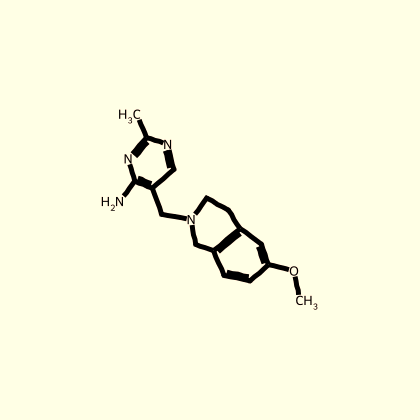 COc1ccc2c(c1)CCN(Cc1cnc(C)nc1N)C2